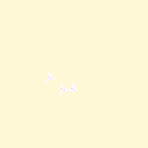 CCOC(=O)c1cc(N(C)C2(c3ccc(OC)cc3)CC2)n(C)n1